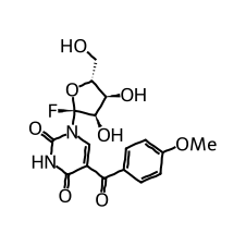 COc1ccc(C(=O)c2cn([C@]3(F)O[C@H](CO)[C@@H](O)[C@H]3O)c(=O)[nH]c2=O)cc1